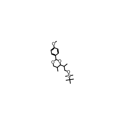 COc1ccc(C2OCC(C)C(C(C)CO[Si](C)(C)C(C)(C)C)O2)cc1